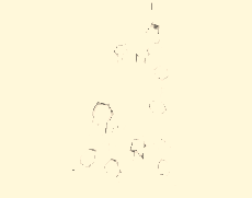 O=C(COc1ccccc1)N(c1ccc(Br)cc1)c1nccs1.O=C(Nc1ccccn1)C(Oc1ccc(F)cc1)c1ccc(F)cc1.O=C(Nc1nccs1)C(Oc1ccc(F)cc1)c1ccc(F)cc1